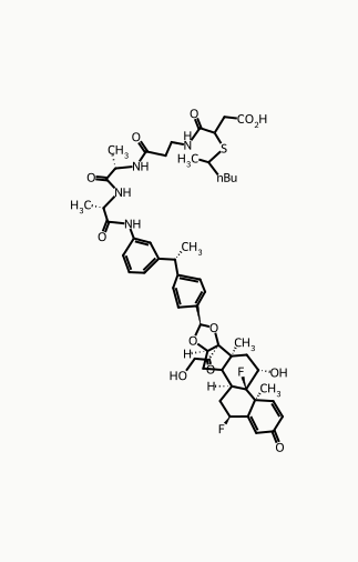 CCCCC(C)SC(CC(=O)O)C(=O)NCCC(=O)N[C@@H](C)C(=O)N[C@@H](C)C(=O)Nc1cccc([C@H](C)c2ccc([C@@H]3O[C@@H]4CC5[C@@H]6C[C@H](F)C7=CC(=O)C=C[C@]7(C)[C@@]6(F)[C@@H](O)C[C@]5(C)[C@]4(C(=O)CO)O3)cc2)c1